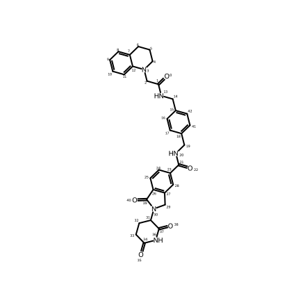 O=C(CN1CCCc2ccccc21)NCc1ccc(CNC(=O)c2ccc3c(c2)CN(C2CCC(=O)NC2=O)C3=O)cc1